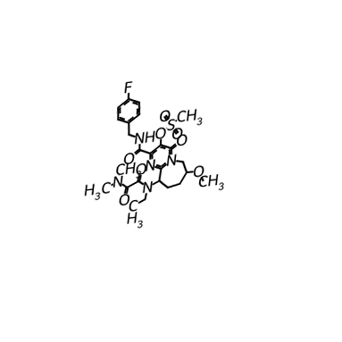 CCN(C(=O)C(=O)N(C)C)C1CCC(OC)Cn2c1nc(C(=O)NCc1ccc(F)cc1)c(OS(C)(=O)=O)c2=O